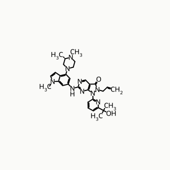 C=CCn1c(=O)c2cnc(Nc3cc(N4CCN(C)[C@H](C)C4)c4ccn(C)c4c3)nc2n1-c1cccc(C(C)(C)O)n1